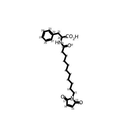 O=C(CCCCCCCCCCN1C(=O)C=CC1=O)NC(Cc1ccccc1)C(=O)O